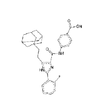 O=C(O)c1ccc(NC(=O)c2nc(-c3ccccc3F)[nH]c2CCC23CC4CC(CC(C4)C2)C3)cc1